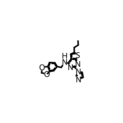 CCCc1cc2c(NCc3ccc4c(c3)OCO4)nc(-n3ccnc3)nc2s1